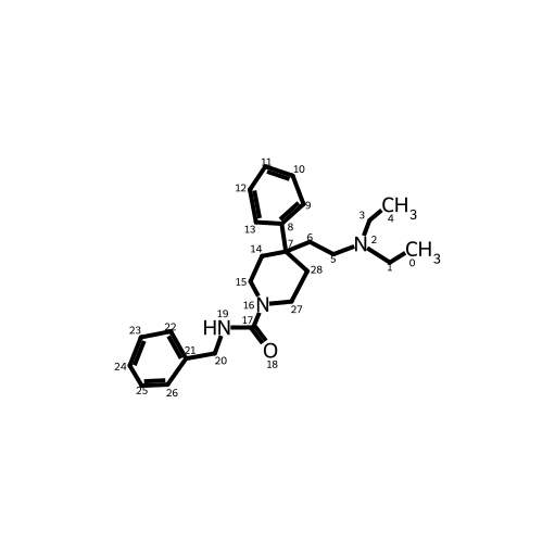 CCN(CC)CCC1(c2ccccc2)CCN(C(=O)NCc2ccccc2)CC1